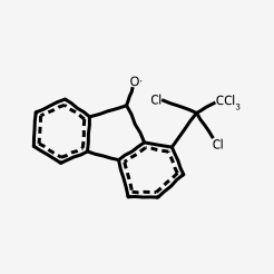 [O]C1c2ccccc2-c2cccc(C(Cl)(Cl)C(Cl)(Cl)Cl)c21